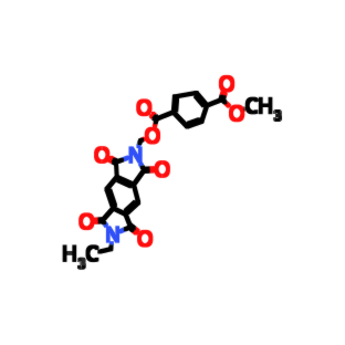 CCn1c(=O)c2cc3c(=O)n(COC(=O)c4ccc(C(=O)OC)cc4)c(=O)c3cc2c1=O